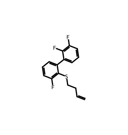 C=CCCSc1c(F)cccc1-c1cccc(F)c1F